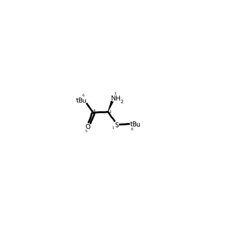 CC(C)(C)S[C@H](N)C(=O)C(C)(C)C